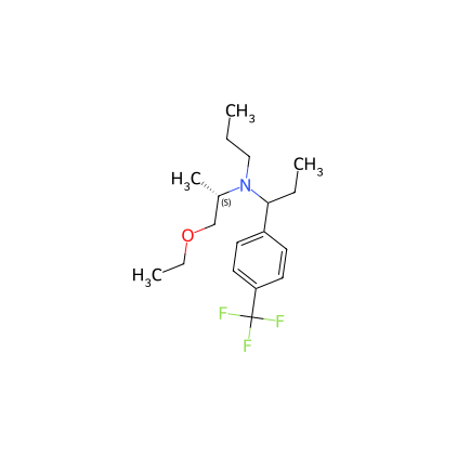 CCCN(C(CC)c1ccc(C(F)(F)F)cc1)[C@@H](C)COCC